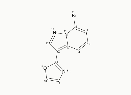 Brc1cccc2c(-c3ncco3)cnn12